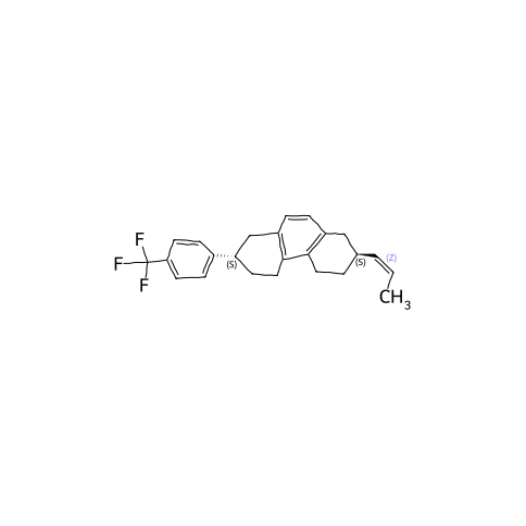 C/C=C\[C@H]1CCc2c(ccc3c2CC[C@H](c2ccc(C(F)(F)F)cc2)C3)C1